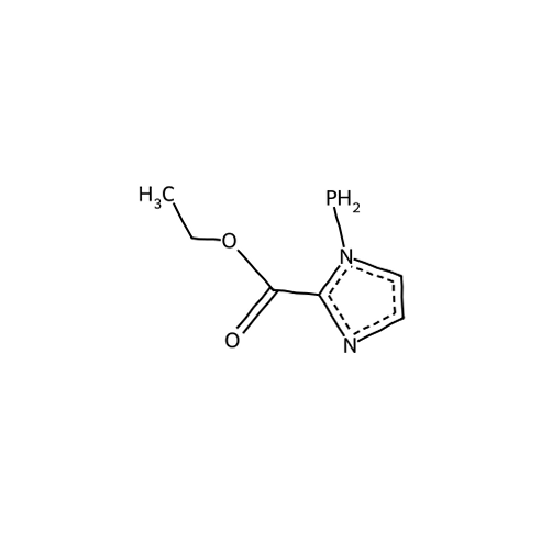 CCOC(=O)c1nccn1P